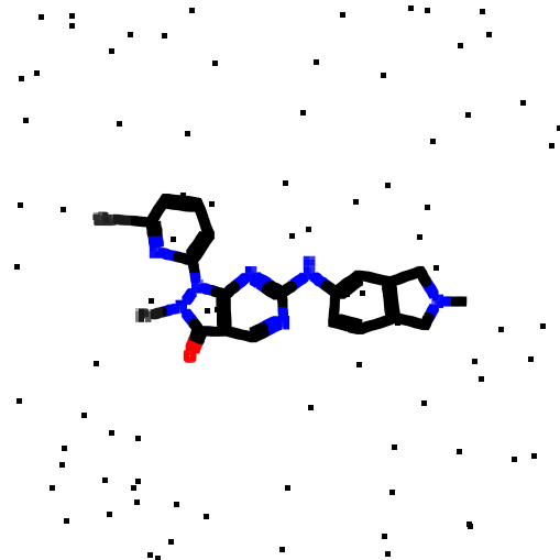 CC(C)n1c(=O)c2cnc(Nc3ccc4c(c3)CN(C)C4)nc2n1-c1cccc(C(C)(C)C)n1